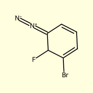 [N-]=[N+]=C1C=CC=C(Br)C1F